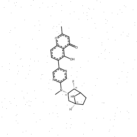 Cc1cc(=O)c2c(O)c(-c3cnc(N(C)[C@H]4C[C@@H]5CCC(N5)[C@H]4F)cn3)ccc2o1